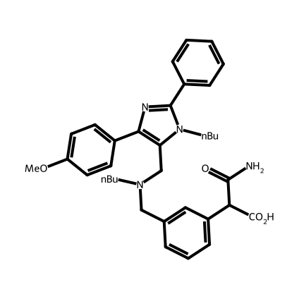 CCCCN(Cc1cccc(C(C(N)=O)C(=O)O)c1)Cc1c(-c2ccc(OC)cc2)nc(-c2ccccc2)n1CCCC